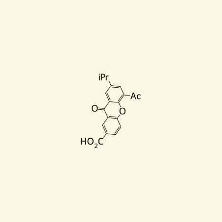 CC(=O)c1cc(C(C)C)cc2c(=O)c3cc(C(=O)O)ccc3oc12